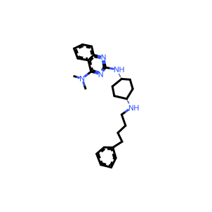 CN(C)c1nc(N[C@H]2CC[C@@H](NCCCCc3ccccc3)CC2)nc2ccccc12